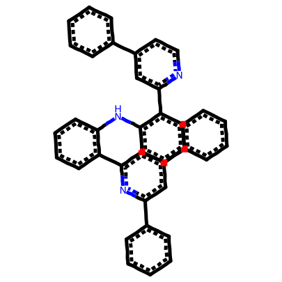 c1ccc(-c2ccnc(-c3ccccc3Nc3ccccc3-c3cc(-c4ccccc4)cc(-c4ccccc4)n3)c2)cc1